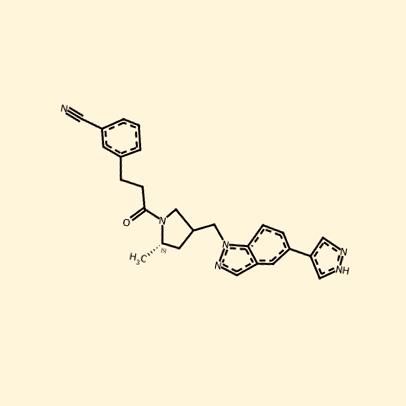 C[C@H]1CC(Cn2ncc3cc(-c4cn[nH]c4)ccc32)CN1C(=O)CCc1cccc(C#N)c1